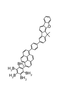 Bc1c(B)c(B)c(-c2ccc3ccc4c(-c5ccc(-c6ccc7c(c6)-c6ccc8c(oc9ccccc98)c6C7(C)C)cc5)ccc5ccc2c3c54)c(B)c1B